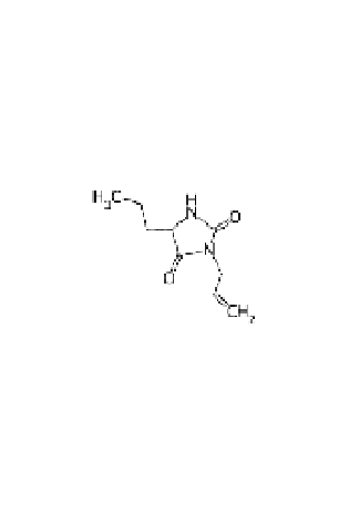 C=CCN1C(=O)NC(CCC)C1=O